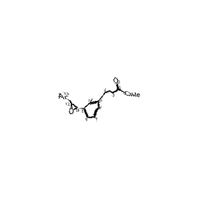 COC(=O)CCc1cccc([C@H]2OC2C(C)=O)c1